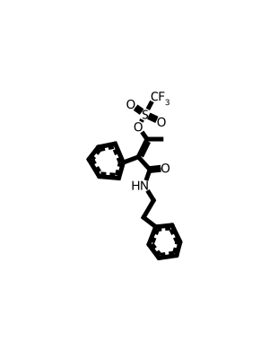 C/C(OS(=O)(=O)C(F)(F)F)=C(\C(=O)NCCc1ccccc1)c1ccccc1